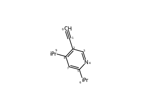 C#Cc1cnc(C(C)C)cc1C(C)C